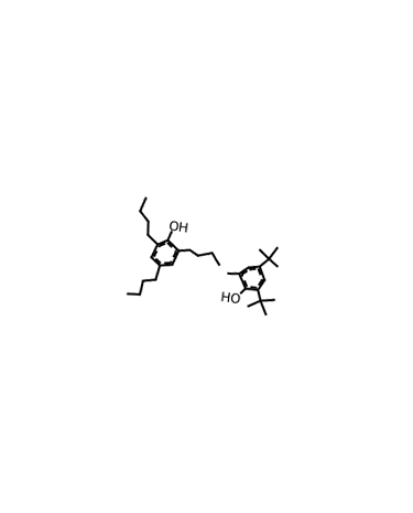 CCCCc1cc(CCCC)c(O)c(CCCC)c1.Cc1cc(C(C)(C)C)cc(C(C)(C)C)c1O